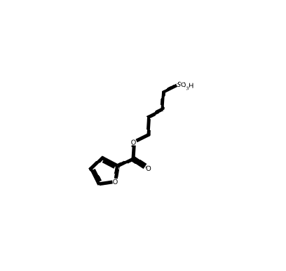 O=C(OCCCCS(=O)(=O)O)c1ccco1